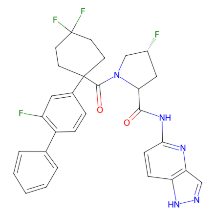 O=C(Nc1ccc2[nH]ncc2n1)C1C[C@@H](F)CN1C(=O)C1(c2ccc(-c3ccccc3)c(F)c2)CCC(F)(F)CC1